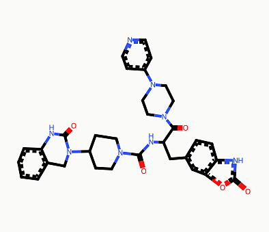 O=C(NC(Cc1ccc2[nH]c(=O)oc2c1)C(=O)N1CCN(c2ccncc2)CC1)N1CCC(N2Cc3ccccc3NC2=O)CC1